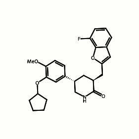 COc1ccc([C@H]2CNC(=O)[C@H](Cc3cc4cccc(F)c4o3)C2)cc1OC1CCCC1